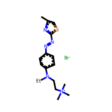 CCN(CC[N+](C)(C)C)c1ccc(/N=N/c2nc(C)cs2)cc1.[Br-]